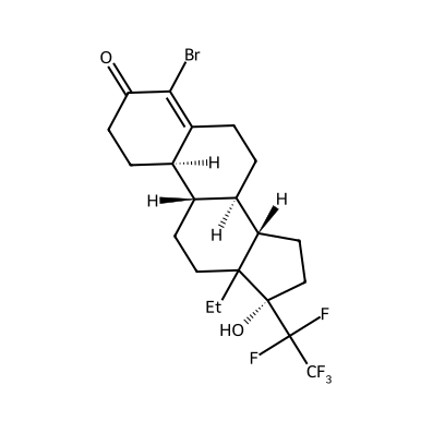 CCC12CC[C@H]3[C@@H](CCC4=C(Br)C(=O)CC[C@@H]43)[C@@H]1CC[C@@]2(O)C(F)(F)C(F)(F)F